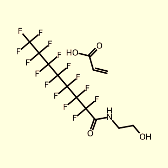 C=CC(=O)O.O=C(NCCO)C(F)(F)C(F)(F)C(F)(F)C(F)(F)C(F)(F)C(F)(F)C(F)(F)F